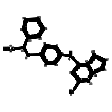 CCc1cc(Nc2ccc(OC(C(=O)O)c3ccccc3)cc2)n2nccc2n1